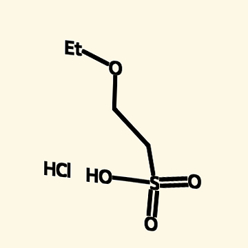 CCOCCS(=O)(=O)O.Cl